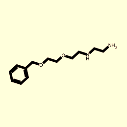 NCCNCCOCCOCc1ccccc1